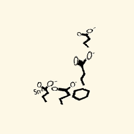 C1CCCCC1.CCCC(=O)[O-].CCCC(=O)[O-].CCCC(=O)[O-].CCCC(=O)[O-].[Sn+4]